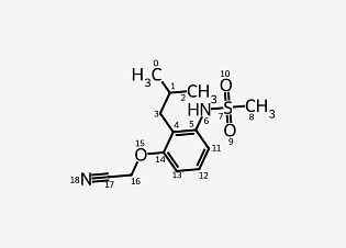 CC(C)Cc1c(NS(C)(=O)=O)cccc1OCC#N